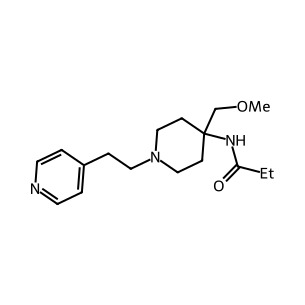 CCC(=O)NC1(COC)CCN(CCc2ccncc2)CC1